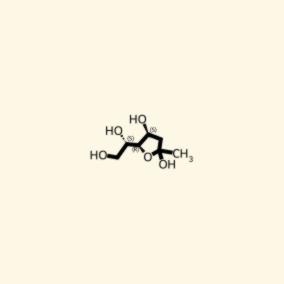 CC1(O)C[C@H](O)[C@H]([C@@H](O)CO)O1